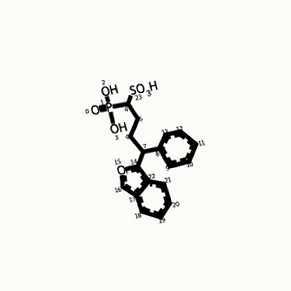 O=P(O)(O)C(CCC(c1ccccc1)c1occ2ccccc12)S(=O)(=O)O